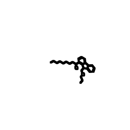 CCCCCCCCC(=O)c1cccc2c1C(COCCC)c1ccccc1-2